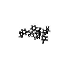 Cc1ccc(-n2nc(C(C)(C)C)cc2NC(=O)Nc2ccccc2C(C(=O)Cc2ccc3c(c2)OCO3)C2CCNCC2)cc1